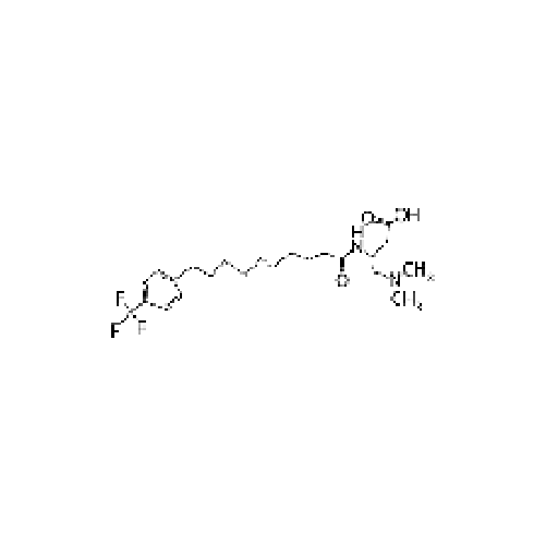 CN(C)C[C@@H](CC(=O)O)NC(=O)CCCCCCCCCc1ccc(C(F)(F)F)cc1